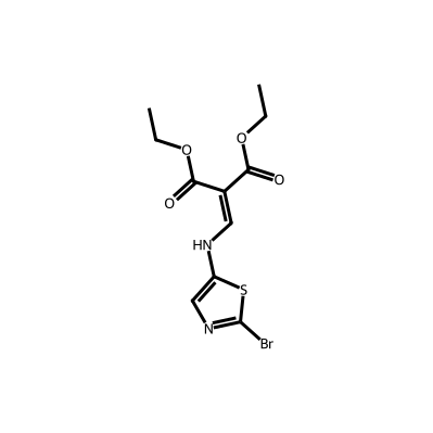 CCOC(=O)C(=CNc1cnc(Br)s1)C(=O)OCC